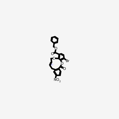 O=C1Oc2c(Br)ccc(C(=O)OCc3ccccc3)c2CC/C=C/Cc2cc([N+](=O)[O-])ccc21